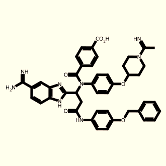 CC(=N)N1CCC(Oc2ccc(N(C(=O)c3ccc(C(=O)O)cc3)C(CC(=O)Nc3ccc(OCc4ccccc4)cc3)c3nc4cc(C(=N)N)ccc4[nH]3)cc2)CC1